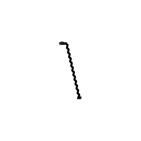 CCCCCCCCCCCCCCCCCCCCCCCCCCCCCCCCCC(C)=O